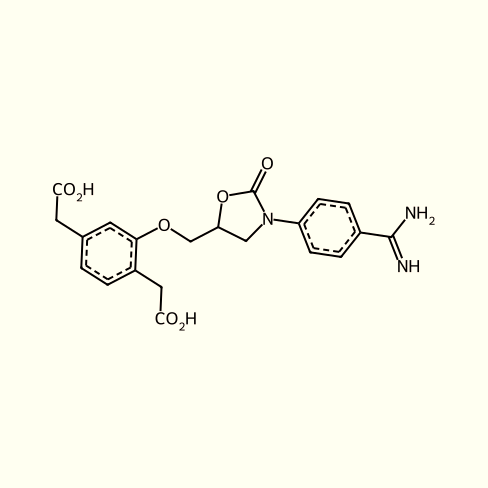 N=C(N)c1ccc(N2CC(COc3cc(CC(=O)O)ccc3CC(=O)O)OC2=O)cc1